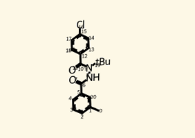 Cc1cccc(C(=O)NN(C(=O)c2ccc(Cl)cc2)C(C)(C)C)c1